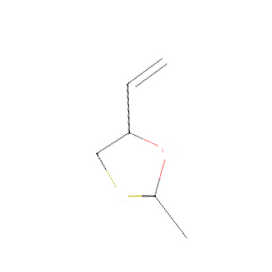 C=CC1CSC(C)O1